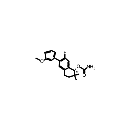 COc1cccc(-c2cc3c(cc2F)[C@H](OC(N)=O)C(C)(C)CC3)c1